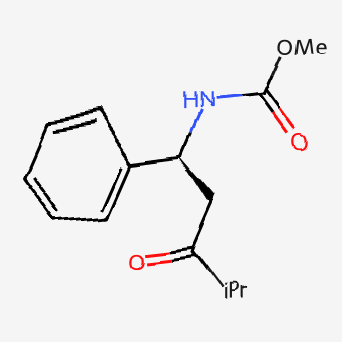 COC(=O)N[C@@H](CC(=O)C(C)C)c1ccccc1